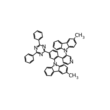 Cc1ccc2c(c1)c1ccccc1n2-c1cnccc1-c1ccc(-c2nc(-c3ccccc3)nc(-c3ccccc3)n2)cc1-n1c2ccccc2c2cc(C)ccc21